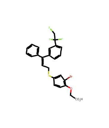 O=C(O)COc1ccc(SC/C=C(/c2ccccc2)c2cccc(C(F)(F)CF)c2)cc1Br